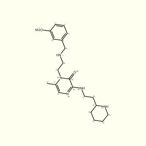 COc1cccc(CNCCn2c(C)cnc(NCCC3CCCCN3)c2=O)c1